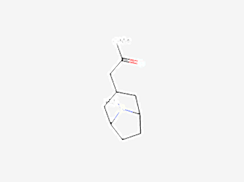 COC(=O)CC1CC2CCC(C1)N2C